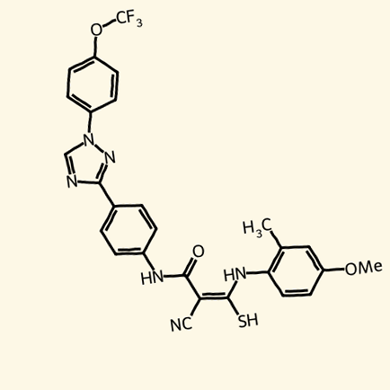 COc1ccc(N/C(S)=C(/C#N)C(=O)Nc2ccc(-c3ncn(-c4ccc(OC(F)(F)F)cc4)n3)cc2)c(C)c1